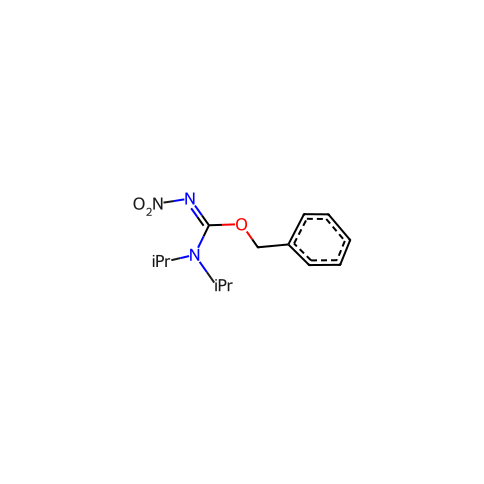 CC(C)N(C(=N[N+](=O)[O-])OCc1ccccc1)C(C)C